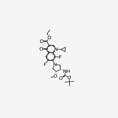 CCOC(=O)c1cn(C2CC2)c2c(F)c(N3C[C@H](NC(=O)OC(C)(C)C)[C@H](OC)C3)c(F)cc2c1=O